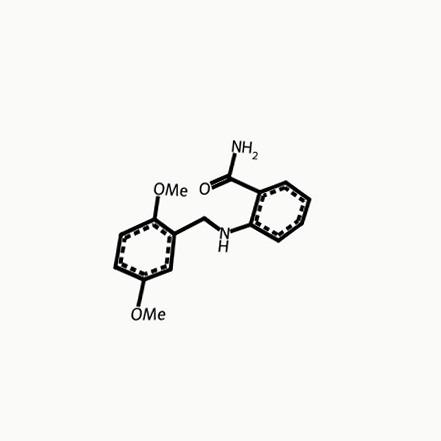 COc1ccc(OC)c(CNc2ccccc2C(N)=O)c1